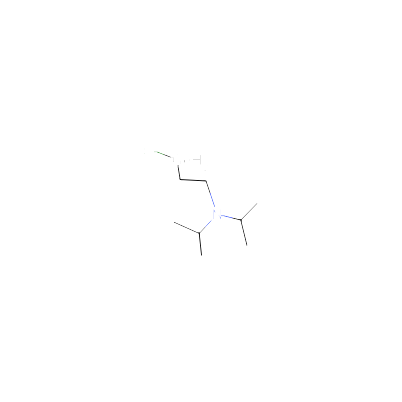 CC(C)N(C[CH2][GeH2][Cl])C(C)C